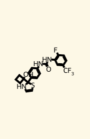 O=C(Nc1ccc(C2(C3(O)CCC3)NC=CS2)cc1)Nc1cc(C(F)(F)F)ccc1F